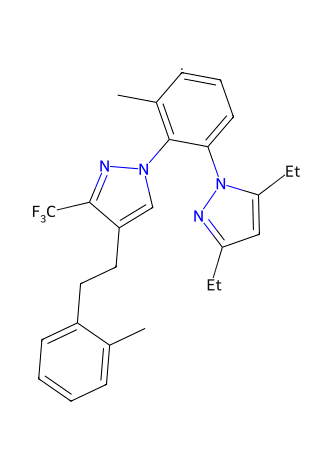 CCc1cc(CC)n(-c2cc[c]c(C)c2-n2cc(CCc3ccccc3C)c(C(F)(F)F)n2)n1